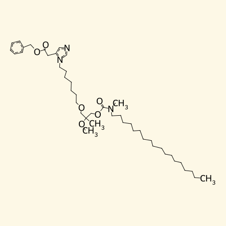 CCCCCCCCCCCCCCCCCCN(C)C(=O)OCC(C)(COCCCCCCCn1cncc1CC(=O)OCc1ccccc1)OC